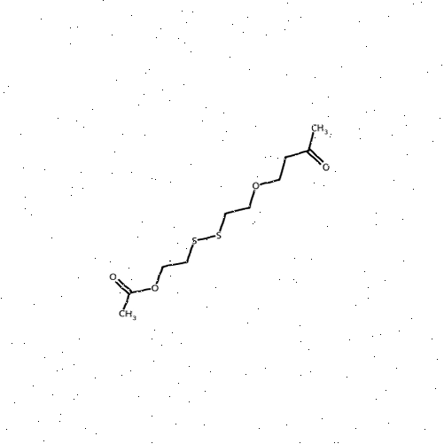 CC(=O)CCOCCSSCCOC(C)=O